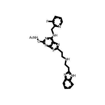 CC(=O)NOc1nc(NCc2ncccc2F)c2nc(CCNCCc3nc4ccccc4[nH]3)sc2n1